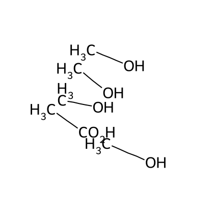 CC(=O)O.CO.CO.CO.CO